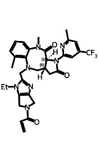 C=CC(=O)N1Cc2nc(CN3C[C@H]4CC(=O)N(c5cc(C(F)(F)F)cc(C)n5)[C@@H]4C(=O)N(C)c4cccc(C)c43)n(CC)c2C1